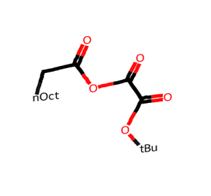 CCCCCCCCCC(=O)OC(=O)C(=O)OC(C)(C)C